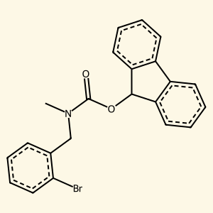 CN(Cc1ccccc1Br)C(=O)OC1c2ccccc2-c2ccccc21